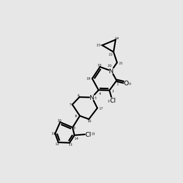 O=c1c(Cl)c(N2CCC(c3ccccc3Cl)CC2)ccn1CC1CC1